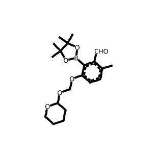 Cc1ccc(OCOC2CCCCO2)c(B2OC(C)(C)C(C)(C)O2)c1C=O